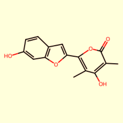 Cc1c(-c2cc3ccc(O)cc3o2)oc(=O)c(C)c1O